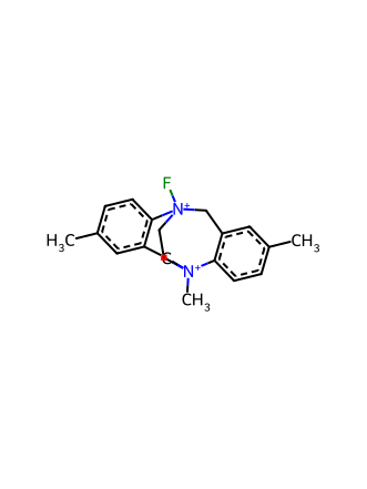 Cc1ccc2c(c1)C[N+]1(F)CC[N+]2(C)Cc2cc(C)ccc21